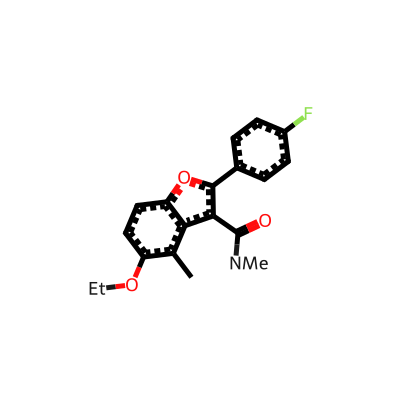 CCOc1ccc2oc(-c3ccc(F)cc3)c(C(=O)NC)c2c1C